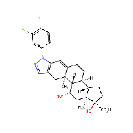 C[C@]12Cc3cnn(-c4ccc(F)c(F)c4)c3C=C1CC[C@@H]1[C@@H]2[C@@H](O)C[C@@]2(C)[C@H]1CC[C@]2(O)C(=O)O